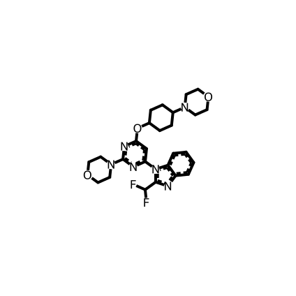 FC(F)c1nc2ccccc2n1-c1cc(OC2CCC(N3CCOCC3)CC2)nc(N2CCOCC2)n1